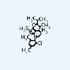 Cc1cc(C)c(N2CCCc3c2nn(C)c3OC(C(C)C)C(C)C)c(Cl)c1